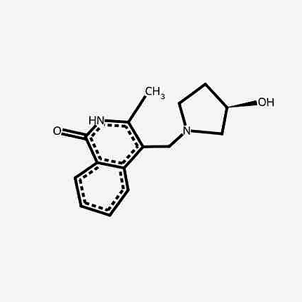 Cc1[nH]c(=O)c2ccccc2c1CN1CC[C@@H](O)C1